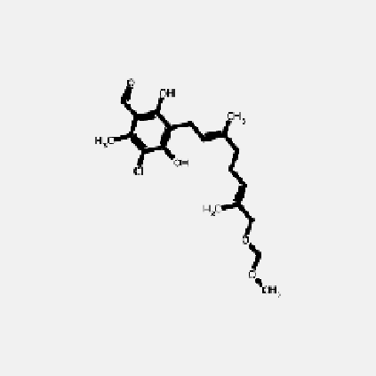 COCOC/C(C)=C/CC/C(C)=C/Cc1c(O)c(Cl)c(C)c(C=O)c1O